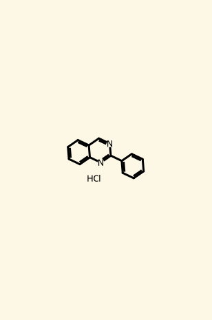 Cl.c1ccc(-c2ncc3ccccc3n2)cc1